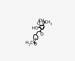 COc1ccc(C(=O)CC2CCN(C(C)=O)CC2)c(O)c1OC